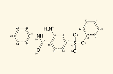 Nc1cc(S(=O)(=O)Oc2ccccc2)ccc1C(=O)Nc1ccccc1